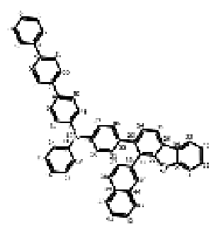 c1ccc(-c2ccc(-c3ccc(N(c4ccccc4)c4ccc(-c5ccc6c(oc7ccccc76)c5-c5ccc6ccccc6c5)cc4)cc3)cc2)cc1